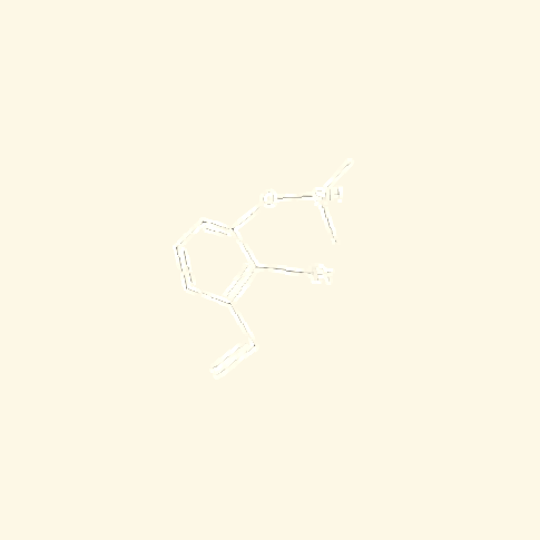 C=Cc1cccc(O[SiH](C)C)c1C(C)C